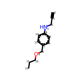 C#CCNc1ccc(COCCC)cc1